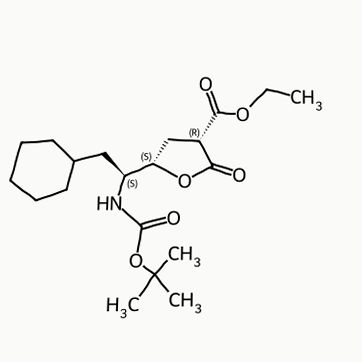 CCOC(=O)[C@H]1C[C@@H]([C@H](CC2CCCCC2)NC(=O)OC(C)(C)C)OC1=O